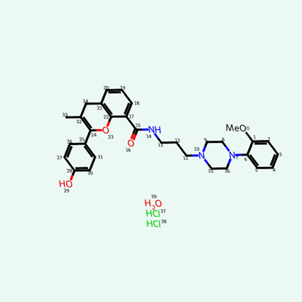 COc1ccccc1N1CCN(CCCNC(=O)c2cccc3c2OC(c2ccc(O)cc2)=C(C)C3)CC1.Cl.Cl.O